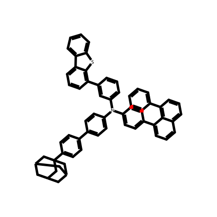 c1ccc(-c2cccc3cccc(-c4ccc(N(c5ccc(-c6ccc(C78CC9CC(CC(C9)C7)C8)cc6)cc5)c5cccc(-c6cccc7c6sc6ccccc67)c5)cc4)c23)cc1